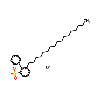 CCCCCCCCCCCCCCCCCc1cccc(S(=O)(=O)[O-])c1-c1ccccc1.[Li+]